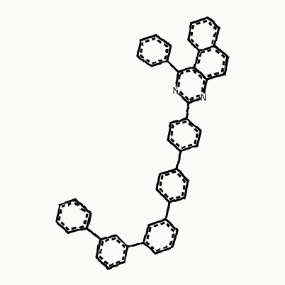 c1ccc(-c2cccc(-c3cccc(-c4ccc(-c5ccc(-c6nc(-c7ccccc7)c7c(ccc8ccccc87)n6)cc5)cc4)c3)c2)cc1